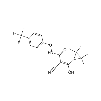 CC1(C)C(/C(O)=C(/C#N)C(=O)NOc2ccc(C(F)(F)F)cc2)C1(C)C